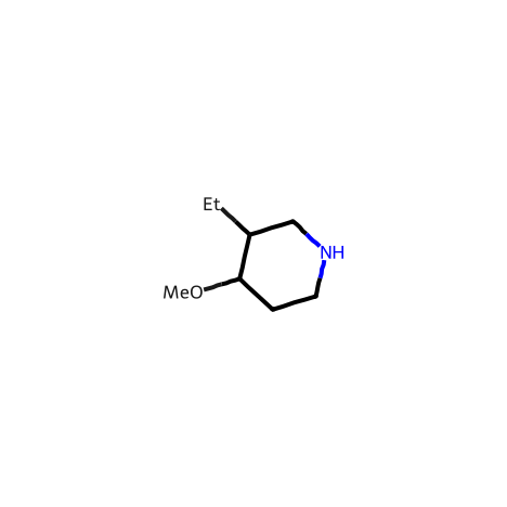 CCC1CNCCC1OC